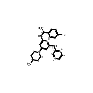 C[C@H](Nc1cc(N2CCC(O)CC2)cc(Nc2cnccn2)n1)c1ccc(F)cc1